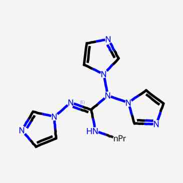 CCCN/C(=N\n1ccnc1)N(n1ccnc1)n1ccnc1